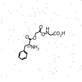 N[C@@H](Cc1ccccc1)C(=O)OCC(=O)ONCC(=O)O